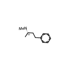 CN[C@@H](C)CCc1ccccc1